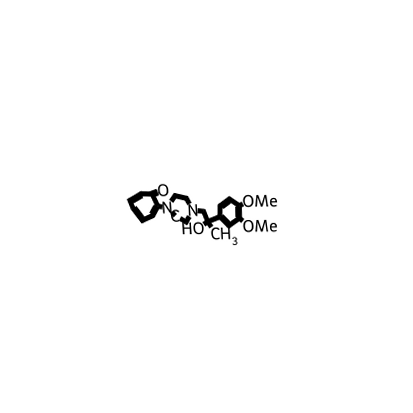 COc1ccc(C(C)(O)CN2CCN(c3cccccc3=O)CC2)cc1OC